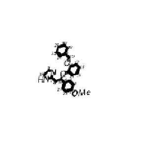 COc1ccc(C(CC2=NCCN2)Oc2ccccc2OCc2ccccc2)cc1